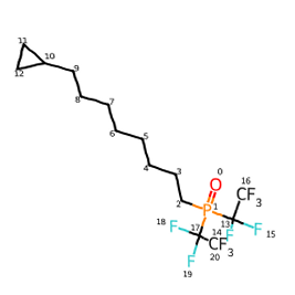 O=P(CCCCCCCCC1CC1)(C(F)(F)C(F)(F)F)C(F)(F)C(F)(F)F